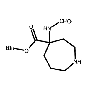 CC(C)(C)OC(=O)C1(N[C]=O)CCCNCC1